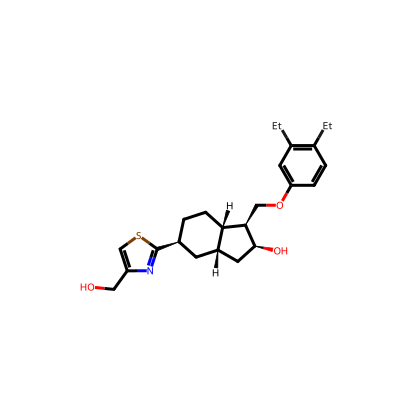 CCc1ccc(OC[C@@H]2[C@H]3CC[C@H](c4nc(CO)cs4)C[C@H]3C[C@@H]2O)cc1CC